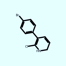 ClC1=C(c2ccc(Br)cc2)[C]=CCN1